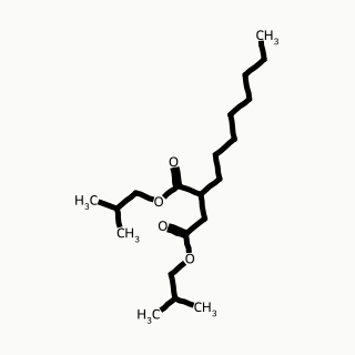 CCCCCCCCC(CC(=O)OCC(C)C)C(=O)OCC(C)C